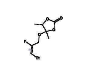 CC/C=C(/F)COC1(C)OC(=O)OC1C